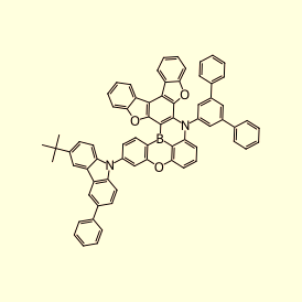 CC(C)(C)c1ccc2c(c1)c1cc(-c3ccccc3)ccc1n2-c1ccc2c(c1)Oc1cccc3c1B2c1c(c2oc4ccccc4c2c2c1oc1ccccc12)N3c1cc(-c2ccccc2)cc(-c2ccccc2)c1